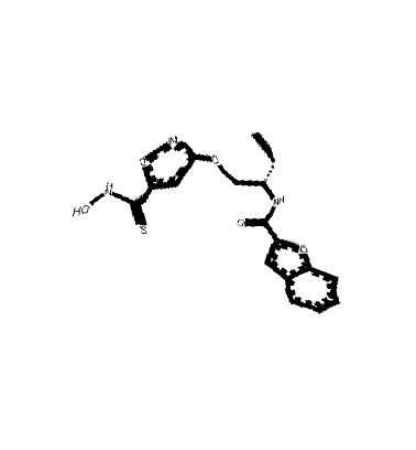 CC[C@@H](COc1cc(C(=S)NO)on1)NC(=O)c1cc2ccccc2o1